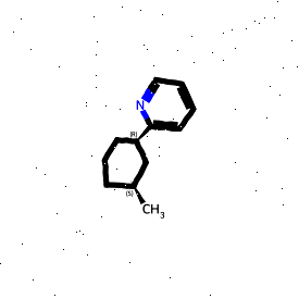 C[C@H]1CCC[C@@H](c2ccccn2)C1